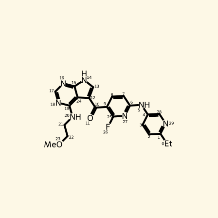 CCc1ccc(Nc2ccc(C(=O)c3c[nH]c4ncnc(NCCOC)c34)c(F)n2)cn1